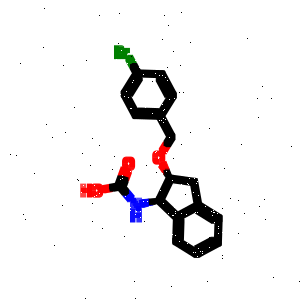 O=C(O)N[C@@H]1c2ccccc2C[C@@H]1OCc1ccc(Br)cc1